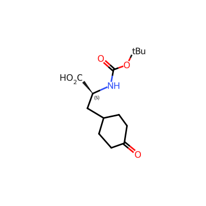 CC(C)(C)OC(=O)N[C@@H](CC1CCC(=O)CC1)C(=O)O